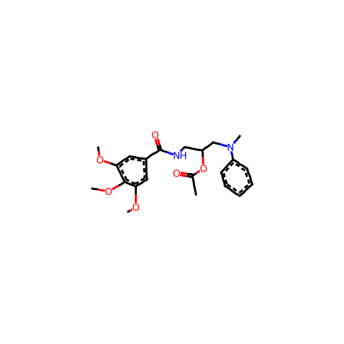 COc1cc(C(=O)NCC(CN(C)c2ccccc2)OC(C)=O)cc(OC)c1OC